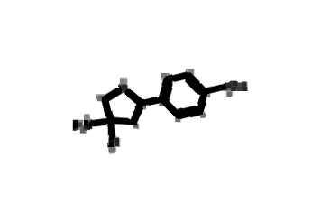 CCCCCCCCc1ccc(C2CC(N)(CC)CO2)cc1